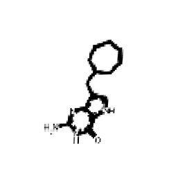 Nc1nc2c(CC3CCCCCC3)c[nH]c2c(=O)[nH]1